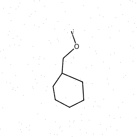 [C]OCC1CCCCC1